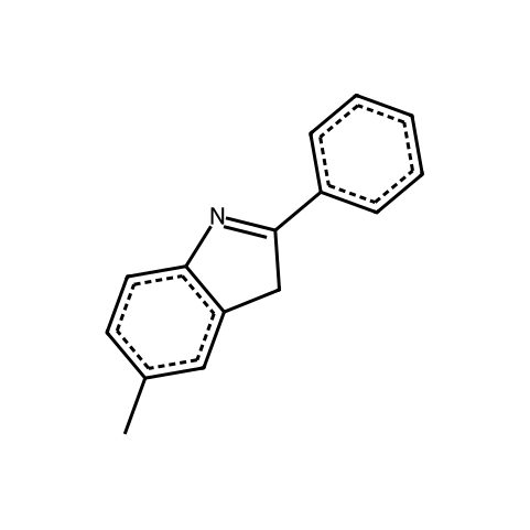 Cc1ccc2c(c1)CC(c1ccccc1)=N2